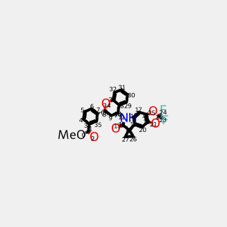 COC(=O)c1cccc([C@H]2C[C@@H](NC(=O)C3(c4ccc5c(c4)OC(F)(F)O5)CC3)c3ccccc3O2)c1